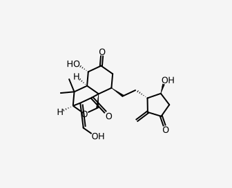 C=C1C(=O)C[C@H](O)[C@H]1CC[C@@H]1CC(=O)[C@@H](O)[C@@H]2C(C)(C)[C@@H]3OC[C@]12C(=O)/C3=C\O